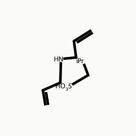 C=CCNCC=C.CC(C)CS(=O)(=O)O